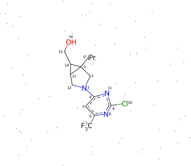 CC(C)C12CN(c3cc(C(F)(F)F)nc(Cl)n3)CC1C2CO